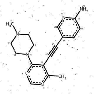 Cc1ncnc(N2CCN(C)CC2)c1C#Cc1ccc(N)nc1